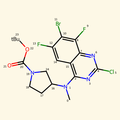 CN(c1nc(Cl)nc2c(F)c(Br)c(F)cc12)C1CCN(C(=O)OC(C)(C)C)C1